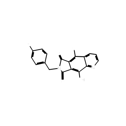 Cc1c2c(c(C)c3ncccc13)C(=O)N(Cc1ccc(F)cc1)C2=O